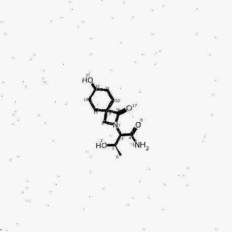 C[C@@H](O)C(C(N)=O)N1CC2(CCC(O)CC2)C1=O